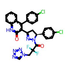 O=C(N1N=C(c2c(-c3ccc(Cl)cc3)c3ccccc3[nH]c2=O)C[C@H]1c1ccc(Cl)cc1)C(F)(F)Cn1cnnn1